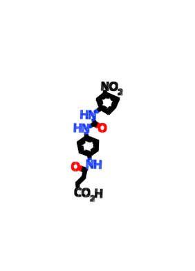 O=C(O)CCC(=O)Nc1ccc(NC(=O)Nc2cccc([N+](=O)[O-])c2)cc1